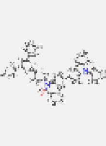 O=c1c2ccccc2c2cc(-c3ccc4c(c3)c3ccccc3n4-c3ccccc3)ccc2n1-c1ccc(-c2cc(-c3ccccc3)cc(-c3ccccc3)c2)cc1